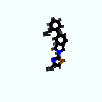 CCc1csc(N2Cc3ccc(-c4ccccc4C#N)cc3C2)n1